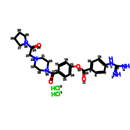 Cl.Cl.N=C(N)Nc1ccc(C(=O)Oc2ccc(C(=O)N3CCN(CC(=O)N4CCCC4)CC3)cc2)cc1